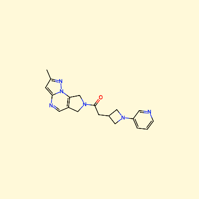 Cc1cc2ncc3c(n2n1)CN(C(=O)CC1CN(c2cccnc2)C1)C3